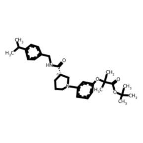 CC(C)c1ccc(CNC(=O)[C@H]2CCCN(c3cccc(OC(C)(C)C(=O)OC(C)(C)C)c3)C2)cc1